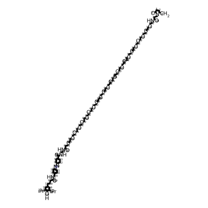 C=C1C=CC(=O)N1CCC(=O)NCCOCCOCCOCCOCCOCCOCCOCCOCCOCCOCCOCCOCCOCCOCCOCCOCCOCCOCCOCCOCCOCCOCCOCCOCCC(=O)NCCNC(=O)c1ccc(/N=N/c2ccc(CNC(=O)CCCc3cc(C(C)C)c(O)c(C(C)C)c3)cc2)cc1